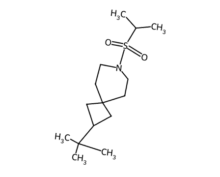 CC(C)S(=O)(=O)N1CCC2(CC1)CC(C(C)(C)C)C2